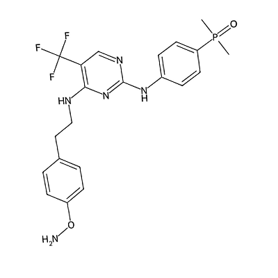 CP(C)(=O)c1ccc(Nc2ncc(C(F)(F)F)c(NCCc3ccc(ON)cc3)n2)cc1